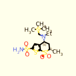 CCN(CS(C)(C)C)[C@H]1C[C@H](C)S(=O)(=O)c2sc(S(N)(=O)=O)cc21